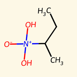 CCC(C)[N+]([O-])(O)O